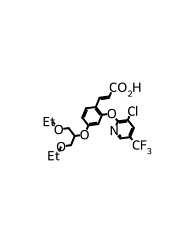 CCOCC(COCC)Oc1ccc(C=CC(=O)O)c(Oc2ncc(C(F)(F)F)cc2Cl)c1